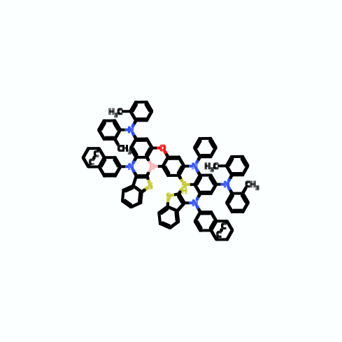 Cc1ccccc1N(c1cc2c3c(c1)N(c1ccc4c(c1)C1CCC4CC1)c1c(sc4ccccc14)B3c1cc3c(cc1O2)N(c1ccccc1)c1cc(N(c2ccccc2C)c2ccccc2C)cc2c1[SH]3c1sc3ccccc3c1N2c1ccc2c(c1)C1CCC2CC1)c1ccccc1C